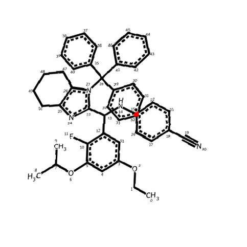 CCOc1cc(OC(C)C)c(F)c(C(Nc2ccc(C#N)cc2)c2nc3c(n2C(c2ccccc2)(c2ccccc2)c2ccccc2)CCCC3)c1